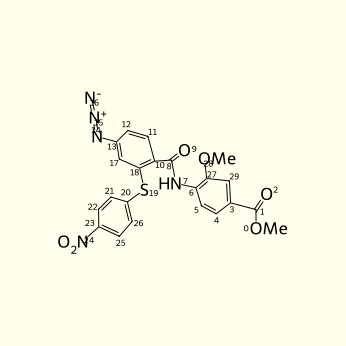 COC(=O)c1ccc(NC(=O)c2ccc(N=[N+]=[N-])cc2Sc2ccc([N+](=O)[O-])cc2)c(OC)c1